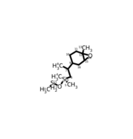 C[SiH2]O[Si](C)(C)CC(C)C1CCC2(C)OC2C1